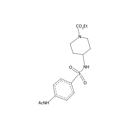 CCOC(=O)N1CCC(NS(=O)(=O)c2ccc(NC(C)=O)cc2)CC1